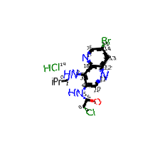 CC(C)CNc1c(NC(=O)CCl)cnc2cc(Br)cnc12.Cl